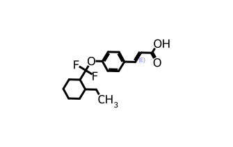 CCC1CCCCC1C(F)(F)Oc1ccc(/C=C/C(=O)O)cc1